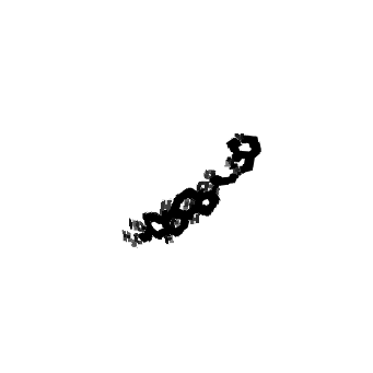 CC[C@@]1(O)CC[C@H]2[C@@H](CC[C@@H]3[C@@H]2CC[C@]2(C)[C@@H](C(=O)Cn4cc5ccncc5n4)CC[C@@H]32)C1